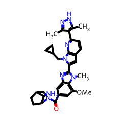 COc1cc(C(=O)N2CC3CCC2C3N)cc2nc(-c3cc4ccc(-c5c(C)n[nH]c5C)nc4n3CC3CC3)n(C)c12